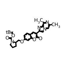 Cc1cn2cc(-c3cc4ccc(OCC5CCCN5C(=O)OC(C)(C)C)cc4oc3=O)nc2c(C)n1